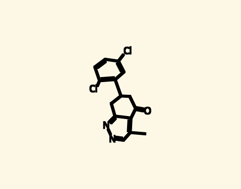 Cc1cnnc2c1C(=O)CC(c1cc(Cl)ccc1Cl)C2